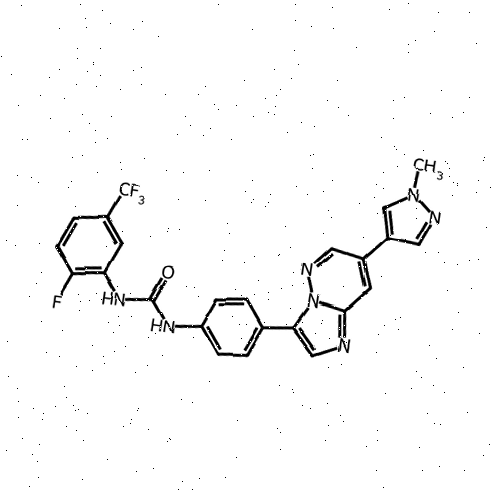 Cn1cc(-c2cnn3c(-c4ccc(NC(=O)Nc5cc(C(F)(F)F)ccc5F)cc4)cnc3c2)cn1